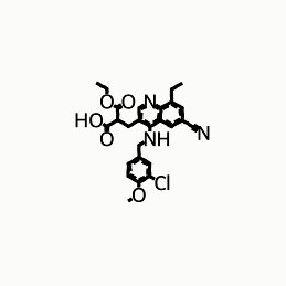 CCOC(=O)C(Cc1cnc2c(CC)cc(C#N)cc2c1NCc1ccc(OC)c(Cl)c1)C(=O)O